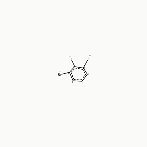 Fc1cccc(Br)c1I